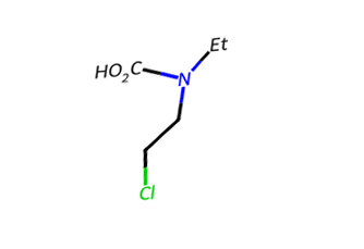 CCN(CCCl)C(=O)O